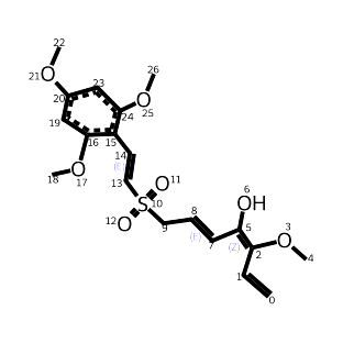 C=C/C(OC)=C(O)\C=C\CS(=O)(=O)/C=C/c1c(OC)cc(OC)cc1OC